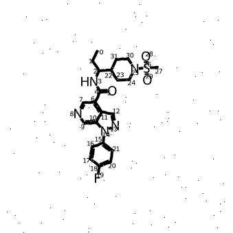 CCC(NC(=O)c1cncc2c1cnn2-c1ccc(F)cc1)C1CCN(S(C)(=O)=O)CC1